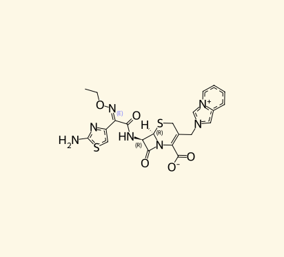 CCO/N=C(/C(=O)N[C@@H]1C(=O)N2C(C(=O)[O-])=C(Cn3cc4cccc[n+]4c3)CS[C@H]12)c1csc(N)n1